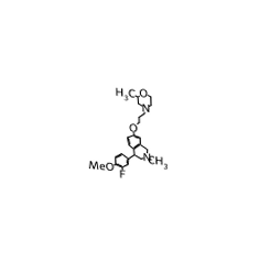 COc1ccc(C2CN(C)Cc3cc(OCCCN4CCOC(C)C4)ccc32)cc1F